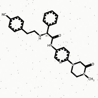 CN1CCN(c2ccc(NC(=O)[C@@H](NCCc3ccc(C#N)cc3)c3ccccc3)cn2)CC1=O